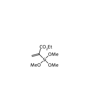 C=C(C(=O)OCC)[Si](OC)(OC)OC